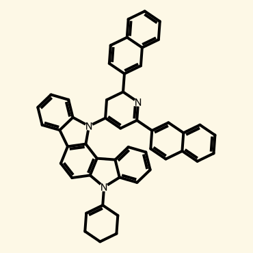 C1=C(n2c3ccccc3c3c2ccc2c4ccccc4n(C4=CC(c5ccc6ccccc6c5)=NC(c5ccc6ccccc6c5)C4)c23)CCCC1